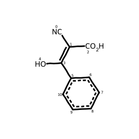 N#CC(C(=O)O)=C(O)c1ccccc1